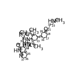 CCCCN(C(=O)Nc1c(C(C)C)cc(-c2cccc(OCCCNC)c2)cc1C(C)C)c1cc2cccnc2[nH]c1=O